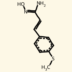 CSc1ccc(/C=C/C(N)=NO)cc1